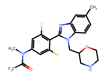 Cc1ccc2c(c1)nc(-c1c(F)cc(N(C)C(=O)C(F)(F)F)cc1F)n2CC1CNCCO1